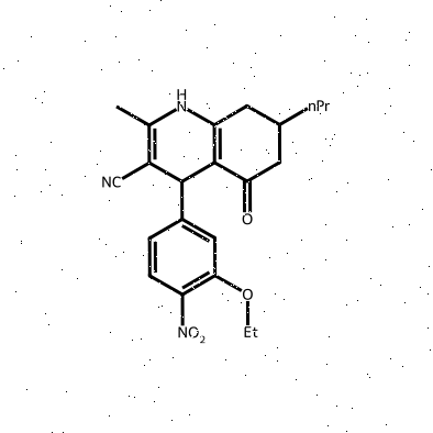 CCCC1CC(=O)C2=C(C1)NC(C)=C(C#N)C2c1ccc([N+](=O)[O-])c(OCC)c1